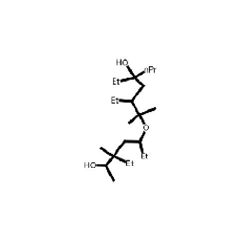 CCCC(O)(CC)CC(CC)C(C)(C)OC(CC)CC(C)(CC)C(C)O